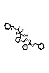 O=C([C@H]1CCCN1C(=O)OCc1ccccc1)N1CCCC1C(O)C(F)(F)C(=O)NCc1ccccc1